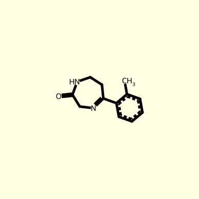 Cc1ccccc1C1=NCC(=O)NCC1